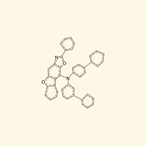 c1ccc(-c2ccc(N(c3cccc(-c4ccccc4)c3)c3c4oc(-c5ccccc5)nc4cc4oc5ccccc5c34)cc2)cc1